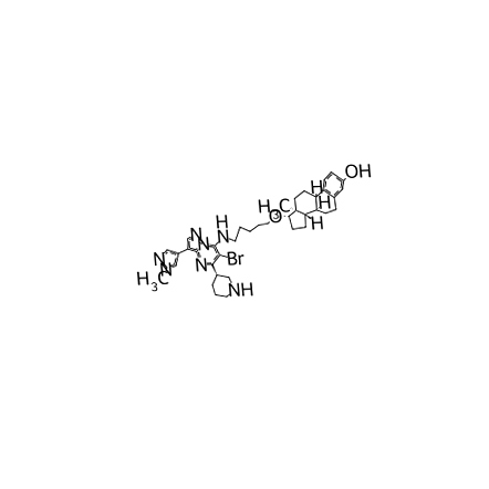 Cn1cc(-c2cnn3c(NCCCCCO[C@H]4CC[C@H]5[C@@H]6CCc7cc(O)ccc7[C@H]6CC[C@]45C)c(Br)c([C@@H]4CCCNC4)nc23)cn1